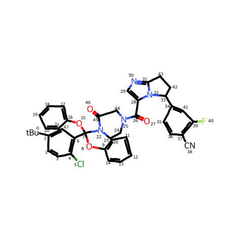 CC(C)(C)c1ccc(Cl)c(C(Oc2ccccc2)(Oc2ccccc2)N2CCN(C(=O)c3cnc4n3C(c3ccc(C#N)c(F)c3)CC4)CC2=O)c1